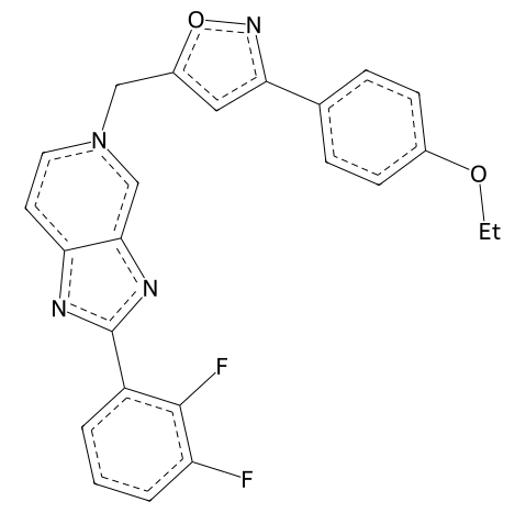 CCOc1ccc(-c2cc(Cn3ccc4nc(-c5cccc(F)c5F)nc-4c3)on2)cc1